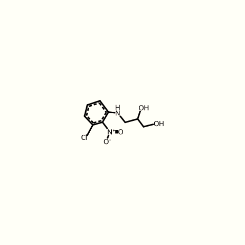 O=[N+]([O-])c1c(Cl)cccc1NCC(O)CO